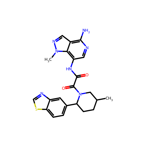 CC1CCC(c2ccc3scnc3c2)N(C(=O)C(=O)Nc2cnc(N)c3cnn(C)c23)C1